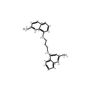 Nc1cc(OCCCOc2cccc3ccc(N)nc23)c2ccccc2n1